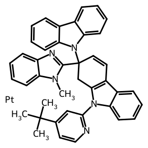 Cn1c(C2(n3c4ccccc4c4ccccc43)C=Cc3c(n(-c4cc(C(C)(C)C)ccn4)c4ccccc34)C2)nc2ccccc21.[Pt]